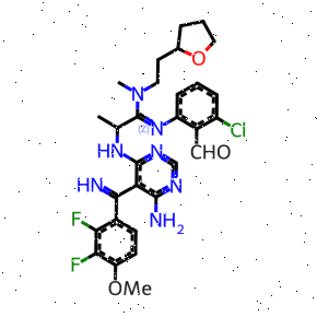 COc1ccc(C(=N)c2c(N)ncnc2NC(C)/C(=N/c2cccc(Cl)c2C=O)N(C)CCC2CCCO2)c(F)c1F